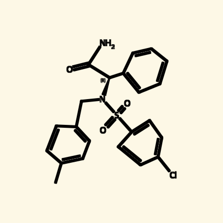 Cc1ccc(CN([C@@H](C(N)=O)c2ccccc2)S(=O)(=O)c2ccc(Cl)cc2)cc1